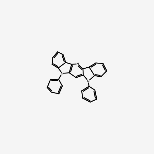 c1ccc(-n2c3ccccc3c3nc4c5ccccc5n(-c5ccccc5)c4cc32)cc1